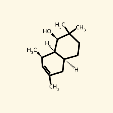 CC1=C[C@@H](C)[C@@H]2[C@@H](CCC(C)(C)[C@@H]2O)C1